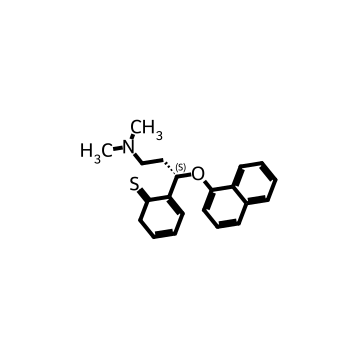 CN(C)CC[C@H](Oc1cccc2ccccc12)C1=CC=CCC1=S